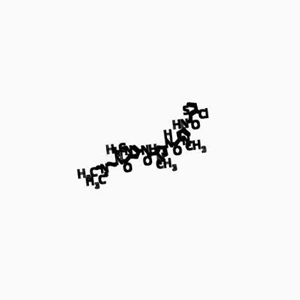 CCN(CC)CCNC(=O)c1cc(NC(=O)c2cc(NC(=O)c3cc(NC(=O)c4sccc4Cl)cn3C)cn2C)cn1C